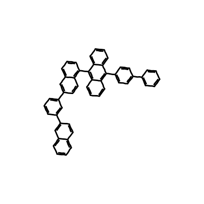 c1ccc(-c2ccc(-c3c4ccccc4c(-c4cccc5cc(-c6cccc(-c7ccc8ccccc8c7)c6)ccc45)c4ccccc34)cc2)cc1